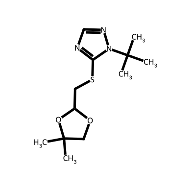 CC1(C)COC(CSc2ncnn2C(C)(C)C)O1